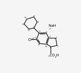 O=C(O)C1CCc2cc(C3CCCCC3)c(Cl)cc21.[NaH]